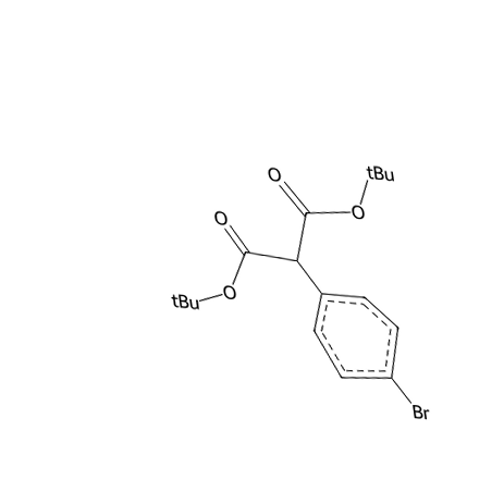 CC(C)(C)OC(=O)C(C(=O)OC(C)(C)C)c1ccc(Br)cc1